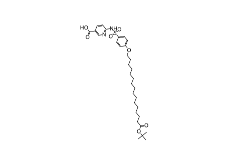 CC(C)(C)OC(=O)CCCCCCCCCCCCCCCOc1ccc(S(=O)(=O)Nc2ccc(C(=O)O)cn2)cc1